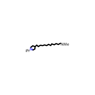 CNCCCCCCCCCCCCCC1CCN(C(C)C)CC1